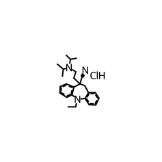 CCN1c2ccccc2CC(C#N)(CCN(C(C)C)C(C)C)c2ccccc21.Cl